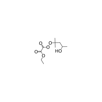 CCOC(=O)C(=O)OOC(C)(C)CC(C)O